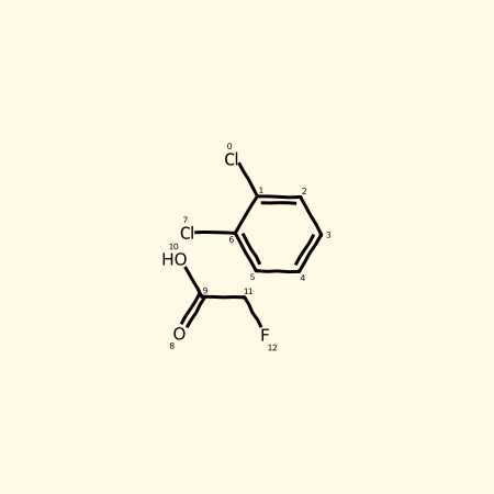 Clc1ccccc1Cl.O=C(O)CF